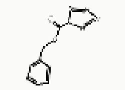 O=C(OCc1ccccc1)C1N=NN=N1